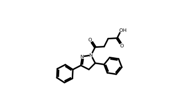 O=C(O)CCC(=O)N1N=C(c2ccccc2)CC1c1ccccc1